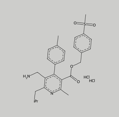 Cc1ccc(-c2c(CN)c(CC(C)C)nc(C)c2C(=O)OCc2ccc(S(C)(=O)=O)cc2)cc1.Cl.Cl